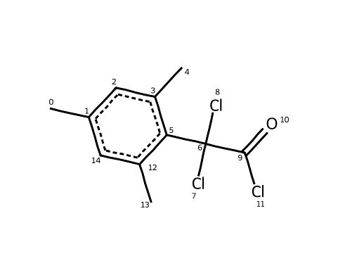 Cc1cc(C)c(C(Cl)(Cl)C(=O)Cl)c(C)c1